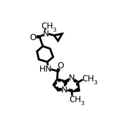 Cc1cc(C)n2ccc(C(=O)NC3CCC(C(=O)N(C)C4CC4)CC3)c2n1